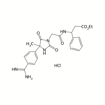 CCOC(=O)CC(NC(=O)CN1C(=O)NC(C)(c2ccc(C(=N)N)cc2)C1=O)c1ccccc1.Cl